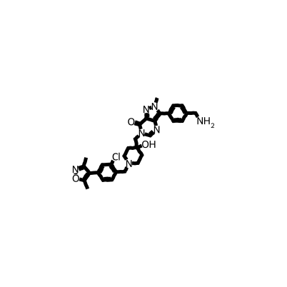 Cc1noc(C)c1-c1ccc(CN2CCC(O)(Cn3cnc4c(-c5ccc(CN)cc5)n(C)nc4c3=O)CC2)c(Cl)c1